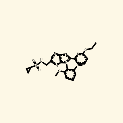 CCOc1cccc(-c2nc3ncc(CNS(=O)(=O)C4CC4)nc3n2-c2c(OC)cccc2OC)n1